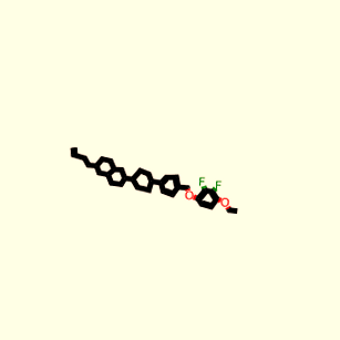 C=CCCC1CCC2CC(C3CCC(c4ccc(COc5ccc(OCC)c(F)c5F)cc4)CC3)CCC2C1